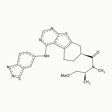 COC[C@H](C)N(C)C(=O)[C@H]1CCc2c(sc3ncnc(Nc4ccc5nnsc5c4)c23)C1